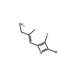 BC/C(C)=C/C1=C(F)C(Br)=N1